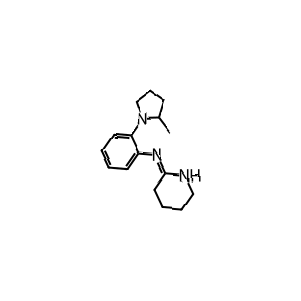 CC1CCCN1c1ccccc1/N=C1\CCCCN1